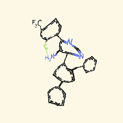 Nc1c(-c2ccc(C(F)(F)F)cc2F)ncnc1-c1ccc(-c2ccccc2)cc1-c1ccccc1